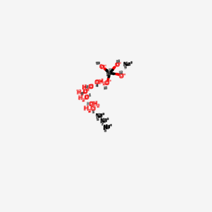 O.O.O.O.O.O.[Na+].[Na+].[Na+].[Na+].[O-][Si]([O-])([O-])[O-]